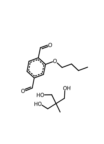 CC(CO)(CO)CO.CCCCOc1cc(C=O)ccc1C=O